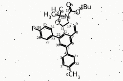 Cc1ccc(-c2cc(/C=C\[C@@H]3COC(C)(C)N3C(=O)OC(C)(C)C)cc(-c3ccc(F)cc3)c2)cc1